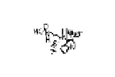 CC(C)(C)[Si](C)(C)OC[C@H](CCCNC(=O)O)Nc1c([N+](=O)[O-])cnc2ccccc12